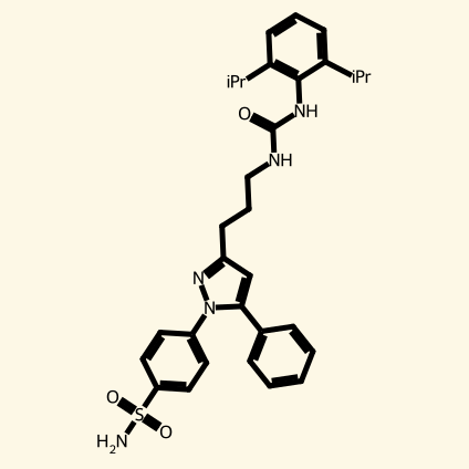 CC(C)c1cccc(C(C)C)c1NC(=O)NCCCc1cc(-c2ccccc2)n(-c2ccc(S(N)(=O)=O)cc2)n1